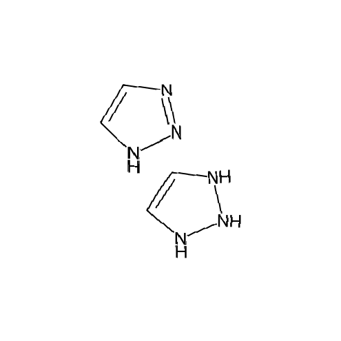 C1=CNNN1.c1c[nH]nn1